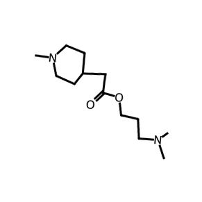 CN(C)CCCOC(=O)CC1CCN(C)CC1